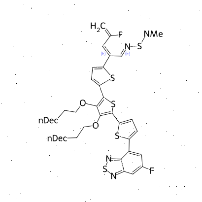 C=C(F)/C=C(\C=N\SNC)c1ccc(-c2sc(-c3ccc(-c4cc(F)cc5nsnc45)s3)c(OCCCCCCCCCCCC)c2OCCCCCCCCCCCC)s1